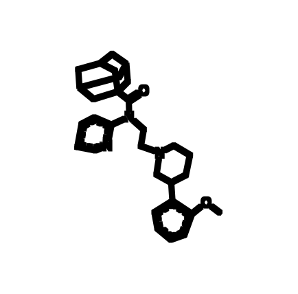 COc1ccccc1C1CCCN(CCN(C(=O)C23CC4CC(CC(C4)C2)C3)c2ccccn2)C1